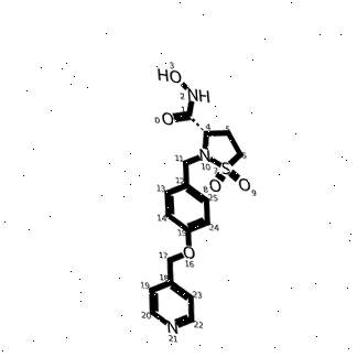 O=C(NO)[C@@H]1CCS(=O)(=O)N1Cc1ccc(OCc2ccncc2)cc1